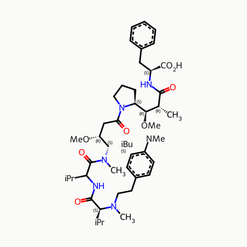 CC[C@H](C)[C@@H]([C@@H](CC(=O)N1CCC[C@H]1[C@H](OC)[C@@H](C)C(=O)N[C@@H](Cc1ccccc1)C(=O)O)OC)N(C)C(=O)C(NC(=O)[C@H](C(C)C)N(C)CCc1ccc(NC)cc1)C(C)C